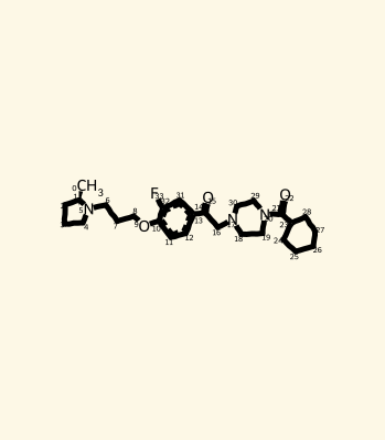 C[C@@H]1CCCN1CCCOc1ccc(C(=O)CN2CCN(C(=O)C3CCCCC3)CC2)cc1F